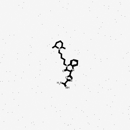 CC1CCCC(C)N1CCCCCn1c(=O)c(-c2cnc(C(=N)N)o2)nc2ccccc21